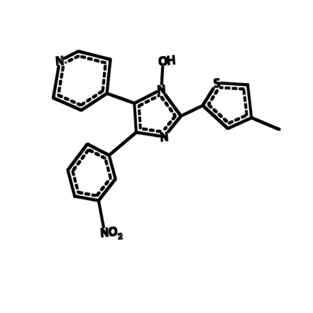 Cc1csc(-c2nc(-c3cccc([N+](=O)[O-])c3)c(-c3ccncc3)n2O)c1